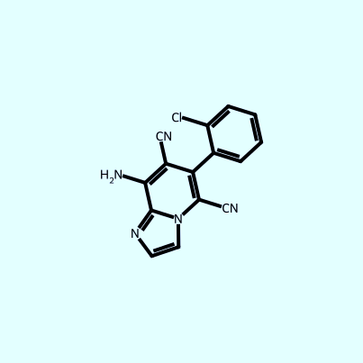 N#Cc1c(-c2ccccc2Cl)c(C#N)n2ccnc2c1N